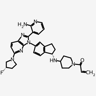 C=CC(=O)N1CCC(N[C@H]2CCc3cc(-n4c(-c5cccnc5N)nc5ccc(N6CC[C@H](F)C6)nc54)ccc32)CC1